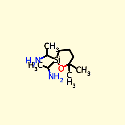 CC(N)[Si]1(C(C)N)CCCC(C)(C)O1